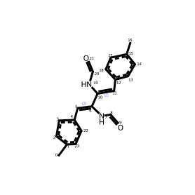 Cc1ccc(/C=C(NC=O)/C(=C/c2ccc(C)cc2)NC=O)cc1